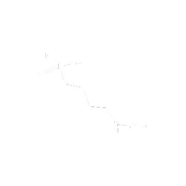 CCCCCNCCSOP(=O)(O)O